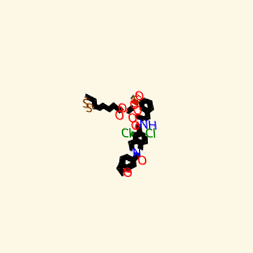 CS(=O)(=O)c1cccc(CC(NC(=O)c2c(Cl)cc3c(c2Cl)CCN(C(=O)c2ccc4ccoc4c2)C3)C(=O)OCCOC(=O)CCCCC2CCSS2)c1